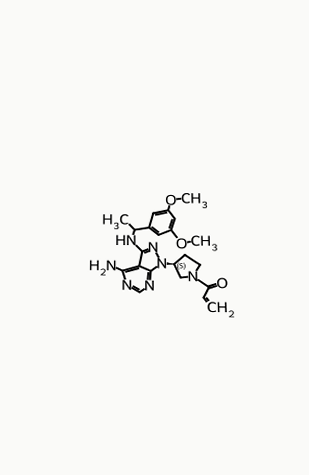 C=CC(=O)N1CC[C@H](n2nc(NC(C)c3cc(OC)cc(OC)c3)c3c(N)ncnc32)C1